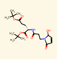 CC(C)(C)OC(=O)CC[C@H](NC(=O)CCN1C(=O)C=CC1O)C(=O)OC(C)(C)C